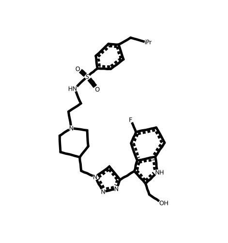 CC(C)Cc1ccc(S(=O)(=O)NCCN2CCC(Cn3cc(-c4c(CO)[nH]c5ccc(F)cc45)nn3)CC2)cc1